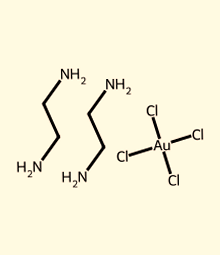 NCCN.NCCN.[Cl][Au]([Cl])([Cl])[Cl]